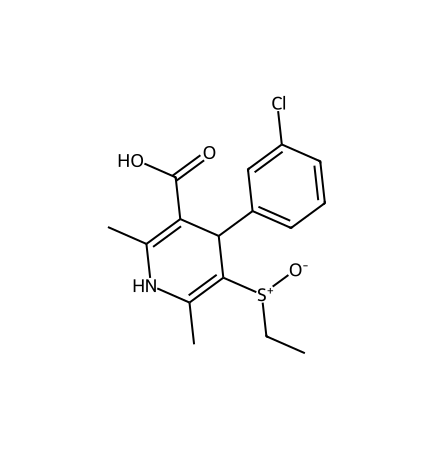 CC[S+]([O-])C1=C(C)NC(C)=C(C(=O)O)C1c1cccc(Cl)c1